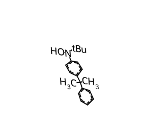 CC(C)(c1ccccc1)c1ccc(N(O)C(C)(C)C)cc1